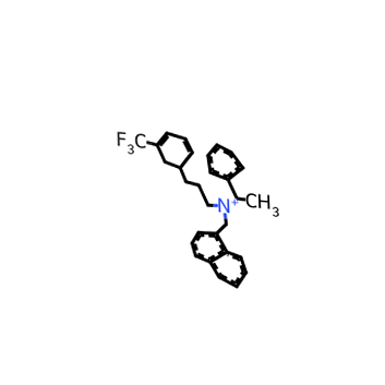 C/C(c1ccccc1)=[N+](/CCCC1C=CC=C(C(F)(F)F)C1)Cc1cccc2ccccc12